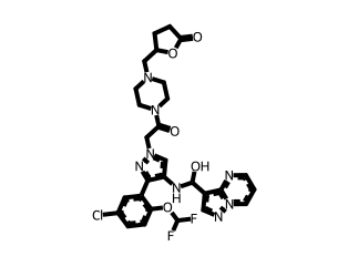 O=C1CCC(CN2CCN(C(=O)Cn3cc(NC(O)c4cnn5cccnc45)c(-c4cc(Cl)ccc4OC(F)F)n3)CC2)O1